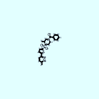 Cc1ccc(-c2ccc(S(=O)(=O)N3CCN(C(=O)c4ccccc4)CC3C)s2)nn1